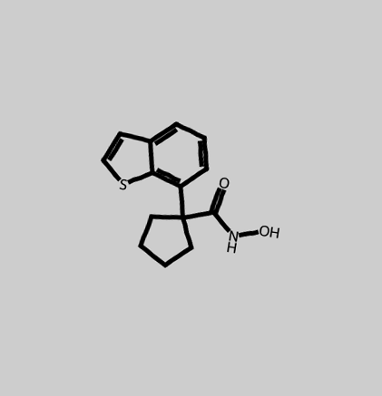 O=C(NO)C1(c2cccc3ccsc23)CCCC1